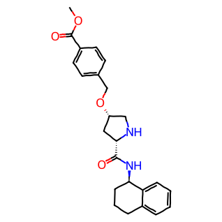 COC(=O)c1ccc(CO[C@@H]2CN[C@H](C(=O)N[C@@H]3CCCc4ccccc43)C2)cc1